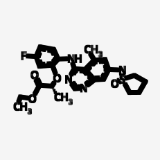 CCOC(=O)[C@@H](C)Oc1cc(F)ccc1Nc1ncnc2cc(N=S3(=O)CCCC3)cc(C)c12